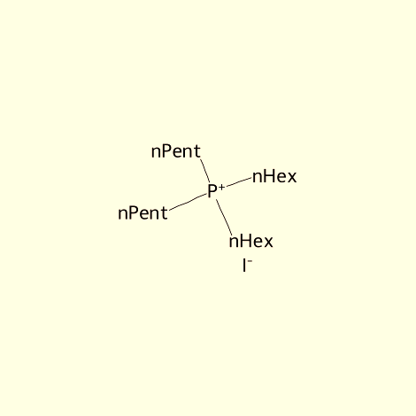 CCCCCC[P+](CCCCC)(CCCCC)CCCCCC.[I-]